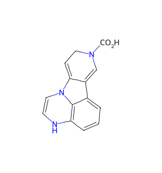 O=C(O)N1C=c2c(n3c4c(cccc24)NC=C3)=CC1